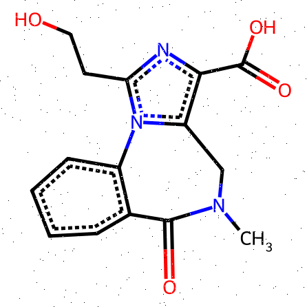 CN1Cc2c(C(=O)O)nc(CCO)n2-c2ccccc2C1=O